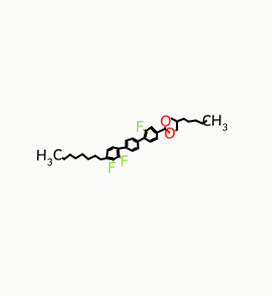 CCCCCCCCc1ccc(-c2ccc(-c3ccc(C4OCC(CCCCC)CO4)cc3F)cc2)c(F)c1F